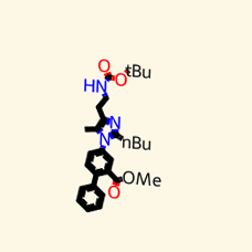 CCCCc1nc(CCNC(=O)OC(C)(C)C)c(C)n1-c1ccc(-c2ccccc2)c(C(=O)OC)c1